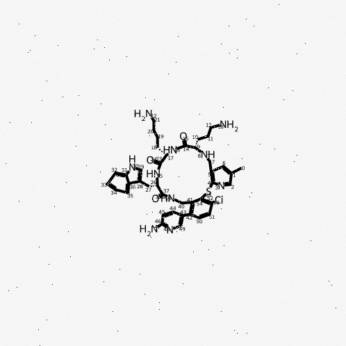 Cc1cnc2c(c1)CN[C@@H](CCCN)C(=O)N[C@@H](CCCCN)C(=O)N[C@@H](Cc1c[nH]c3ccccc13)C(=O)NCc1c(-c3ccc(N)nc3)ccc(Cl)c1S2